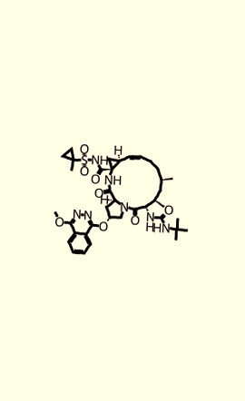 COc1nnc(O[C@@H]2C[C@H]3C(=O)N[C@]4(C(=O)NS(=O)(=O)C5(C)CC5)C[C@H]4C=CCC[C@@H](C)C[C@@H](C)[C@H](NC(=O)NC(C)(C)C)C(=O)N3C2)c2ccccc12